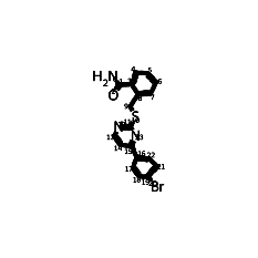 NC(=O)c1ccccc1CSc1nccc(-c2ccc(Br)cc2)n1